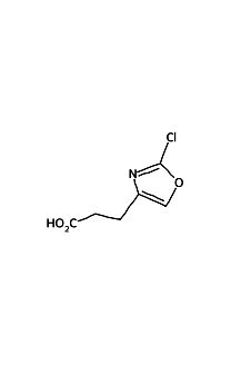 O=C(O)CCc1coc(Cl)n1